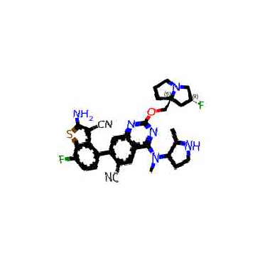 CC1NCCC1N(C)c1nc(OC[C@@]23CCCN2C[C@H](F)C3)nc2cc(-c3ccc(F)c4sc(N)c(C#N)c34)c(C#N)cc12